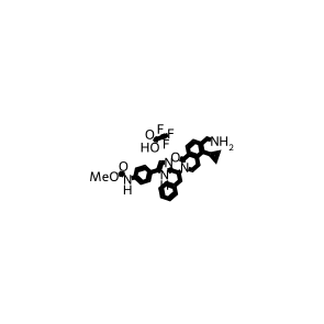 COC(=O)Nc1ccc(-c2cnc(C(Cc3ccccc3)N3CCc4c(ccc(CN)c4C4CC4)C3=O)[nH]2)cc1.O=C(O)C(F)(F)F